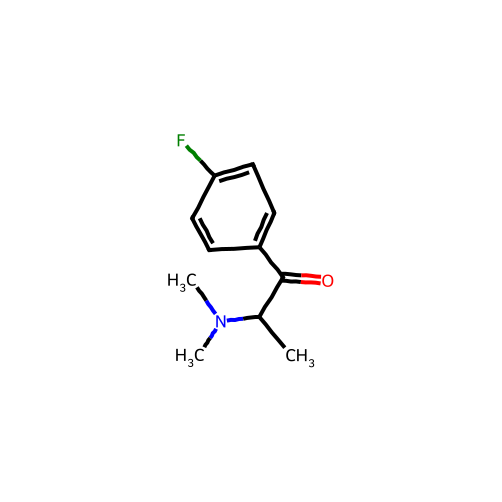 CC(C(=O)c1ccc(F)cc1)N(C)C